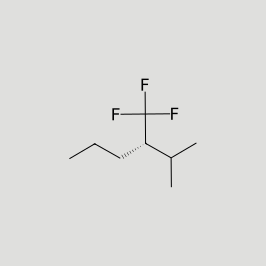 CCC[C@@H](C(C)C)C(F)(F)F